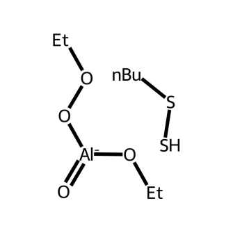 CCCCSS.CCO[O][Al-](=[O])[O]CC